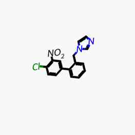 O=[N+]([O-])c1cc(-c2ccccc2Cn2ccnc2)ccc1Cl